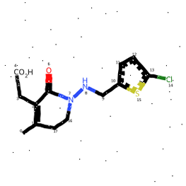 CC1=C(CC(=O)O)C(=O)N(NCc2ccc(Cl)s2)CC1